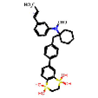 O=CN(c1cccc(/C=C/C(=O)O)c1)C1(Cc2ccc(-c3ccc4c(c3)S(O)(O)CCS4(O)O)cc2)CCCCC1